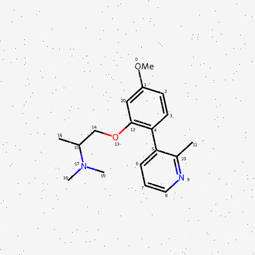 COc1ccc(-c2cccnc2C)c(OCC(C)N(C)C)c1